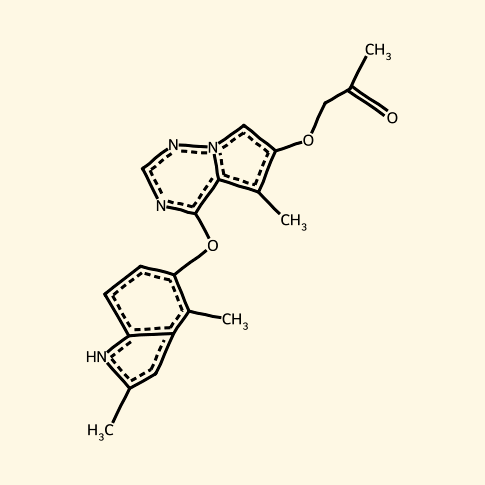 CC(=O)COc1cn2ncnc(Oc3ccc4[nH]c(C)cc4c3C)c2c1C